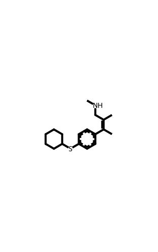 CNCC(C)=C(C)c1ccc(SC2CCCCC2)cc1